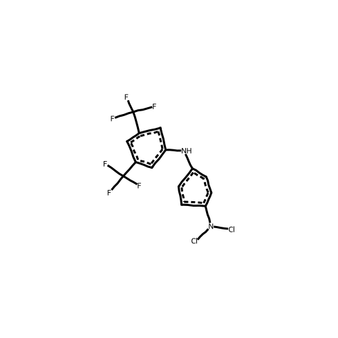 FC(F)(F)c1cc(Nc2ccc(N(Cl)Cl)cc2)cc(C(F)(F)F)c1